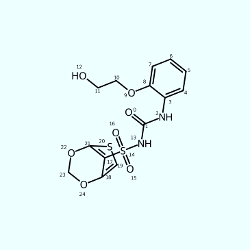 O=C(Nc1ccccc1OCCO)NS(=O)(=O)c1c2csc1OCO2